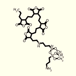 CCCC1C(=O)OC(=O)C1CCC1C(=O)OC(=O)C1CCC1C(=O)OC(=O)C1CCC1C(=O)OC(=O)C1CCNCCC[SiH](OC)O[Si](CCCN)(OC)OC